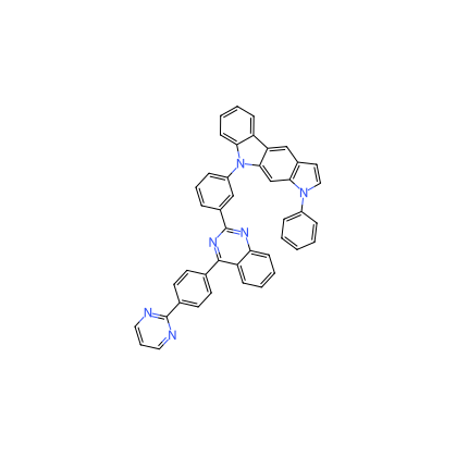 c1ccc(-n2ccc3cc4c5ccccc5n(-c5cccc(-c6nc(-c7ccc(-c8ncccn8)cc7)c7ccccc7n6)c5)c4cc32)cc1